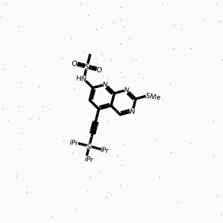 CSc1ncc2c(C#C[Si](C(C)C)(C(C)C)C(C)C)cc(NS(C)(=O)=O)nc2n1